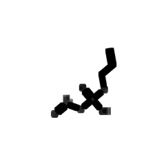 C=CCOP(=O)(O)O[PH2]=O